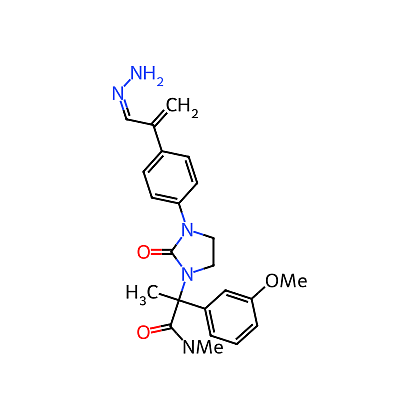 C=C(/C=N\N)c1ccc(N2CCN(C(C)(C(=O)NC)c3cccc(OC)c3)C2=O)cc1